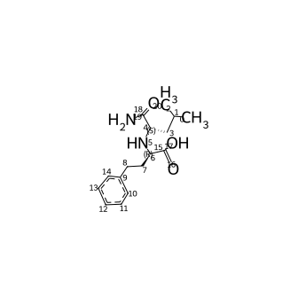 CC(C)C[C@H](N[C@H](CCc1ccccc1)C(=O)O)C(N)=O